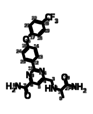 CC(NCc1cc(C(N)=O)nc(-c2ccc(Oc3ccc(C(F)(F)F)cc3)cc2)n1)C(N)=O